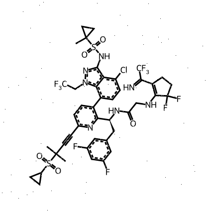 CC1(S(=O)(=O)Nc2nn(CC(F)(F)F)c3c(-c4ccc(C#CC(C)(C)S(=O)(=O)C5CC5)nc4[C@H](Cc4cc(F)cc(F)c4)NC(=O)CNC4=C(C(=N)C(F)(F)F)CCC4(F)F)ccc(Cl)c23)CC1